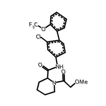 COCC(=O)N1CCCCC1C(=O)Nc1ccc(-c2ccccc2OC(F)(F)F)c(Cl)c1